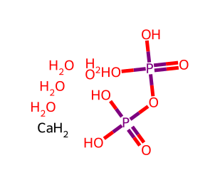 O.O.O.O.O=P(O)(O)OP(=O)(O)O.[CaH2]